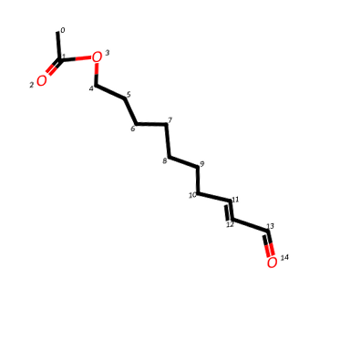 CC(=O)OCCCCCCC/C=C/C=O